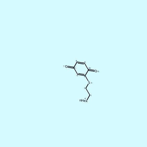 CCCCCCCCSC1=CC(=O)C=CC1=O